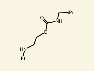 CCNCCOC(=O)NCC(C)C